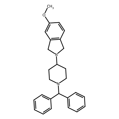 COc1ccc2c(c1)CN(C1CCN(C(c3ccccc3)c3ccccc3)CC1)C2